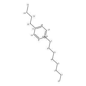 CCCCCCCC[n+]1ccc(CCCC)cc1